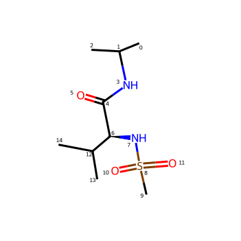 CC(C)NC(=O)[C@@H](NS(C)(=O)=O)C(C)C